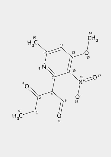 CCC(=O)C(C=O)c1nc(C)cc(OC)c1[N+](=O)[O-]